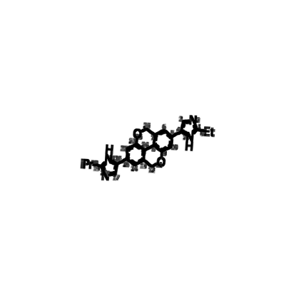 CCc1ncc(-c2cc3c4c(c2)OCc2cc(-c5cnc(C(C)C)[nH]5)cc(c2-4)OC3)[nH]1